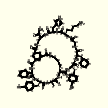 C[C@H]1NC(=O)[C@H](Cc2ccc(O)cc2)NC(=O)C(c2ccccc2)NC(=O)c2cc3cc(c2)C(=O)NCC(C(N)=O)NC(=O)C(Cc2c[nH]cn2)NC(=O)[C@@H](CCCCN)NC(=O)CNC(=O)[C@@H](Cc2ccccc2)NC(=O)[C@H](Cc2ccc(O)cc2)NC(=O)[C@H](CCCCNC3=O)NC1=O